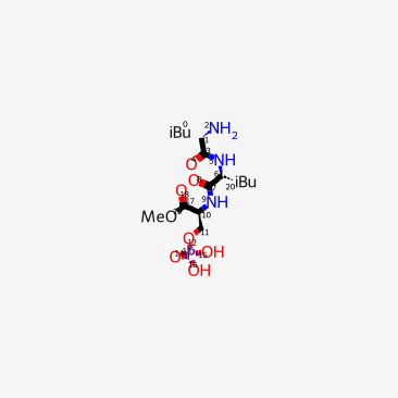 CC[C@H](C)[C@H](N)C(=O)N[C@H](C(=O)N[C@@H](COP(=O)(O)O)C(=O)OC)[C@@H](C)CC